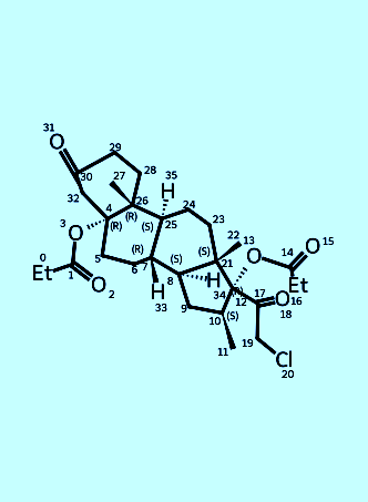 CCC(=O)O[C@@]12CC[C@H]3[C@@H]4C[C@H](C)[C@](OC(=O)CC)(C(=O)CCl)[C@@]4(C)CC[C@@H]3[C@@]1(C)CCC(=O)C2